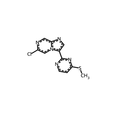 CSc1ccnc(-c2cnc3cnc(Cl)cn23)n1